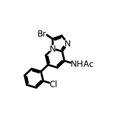 CC(=O)Nc1cc(-c2ccccc2Cl)cn2c(Br)cnc12